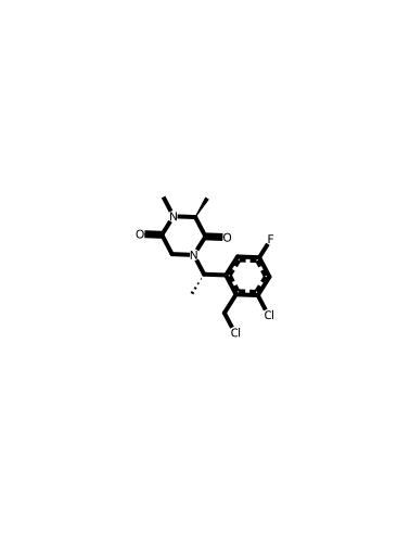 C[C@H]1C(=O)N([C@@H](C)c2cc(F)cc(Cl)c2CCl)CC(=O)N1C